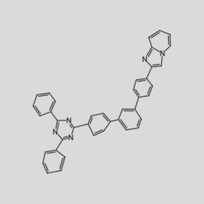 c1ccc(-c2nc(-c3ccccc3)nc(-c3ccc(-c4cccc(-c5ccc(-c6cn7ccccc7n6)cc5)c4)cc3)n2)cc1